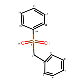 O=S(=O)(Cc1[c]cccc1)c1ccccc1